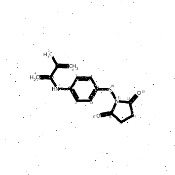 C=C(C)C(=C)Nc1ccc(SN2C(=O)CCC2=O)cc1